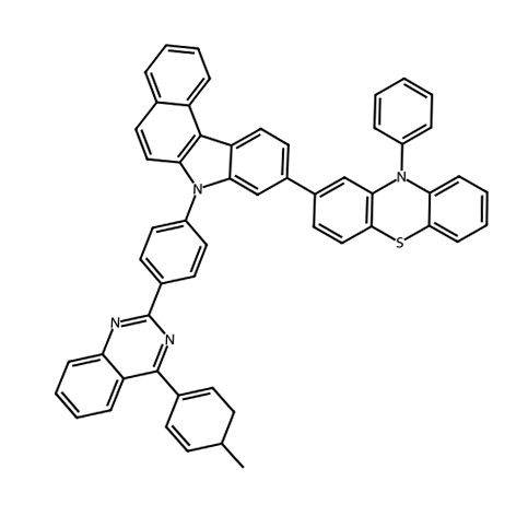 CC1C=CC(c2nc(-c3ccc(-n4c5cc(-c6ccc7c(c6)N(c6ccccc6)c6ccccc6S7)ccc5c5c6ccccc6ccc54)cc3)nc3ccccc23)=CC1